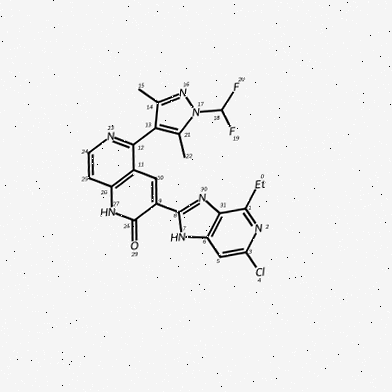 CCc1nc(Cl)cc2[nH]c(-c3cc4c(-c5c(C)nn(C(F)F)c5C)nccc4[nH]c3=O)nc12